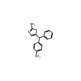 Nc1ncc(C(c2ccccc2)c2ccc([N+](=O)[O-])cc2)s1